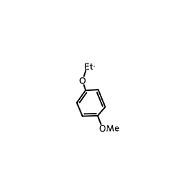 C[CH]Oc1ccc(OC)cc1